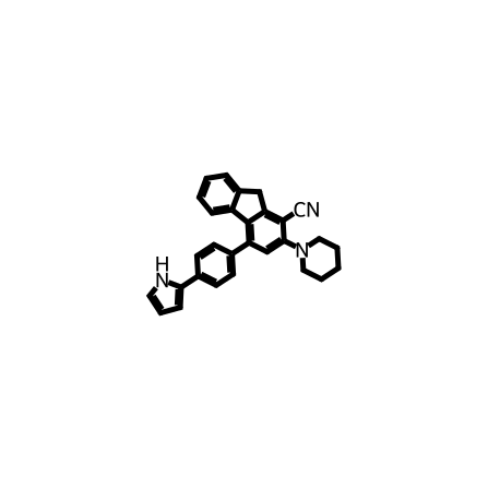 N#Cc1c(N2CCCCC2)cc(-c2ccc(-c3ccc[nH]3)cc2)c2c1Cc1ccccc1-2